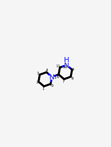 [CH]1CCCCN1C1CCCNC1